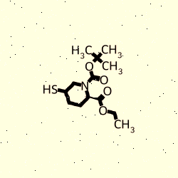 CCOC(=O)[C@H]1CCC(S)CN1C(=O)OC(C)(C)C